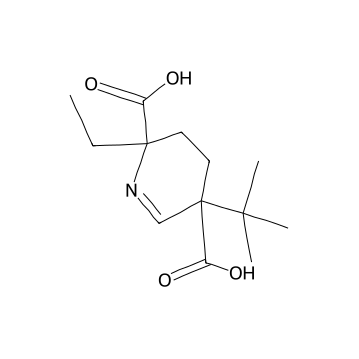 CCC1(C(=O)O)CCC(C(=O)O)(C(C)(C)C)C=N1